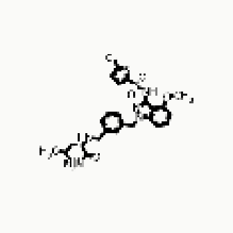 COc1cccc2c1c(NS(=O)(=O)c1ccc(Cl)s1)nn2Cc1cccc(CN[C@@H](CC(C)C)C(N)=O)c1